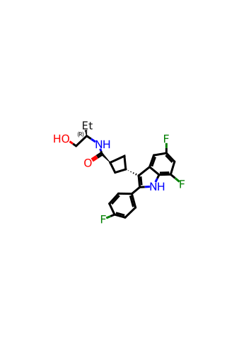 CC[C@H](CO)NC(=O)[C@H]1C[C@H](c2c(-c3ccc(F)cc3)[nH]c3c(F)cc(F)cc32)C1